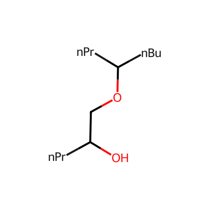 CCCCC(CCC)OCC(O)CCC